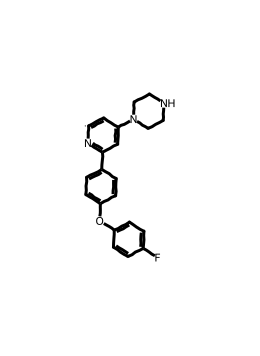 Fc1ccc(Oc2ccc(-c3cc(N4CCNCC4)c[c]n3)cc2)cc1